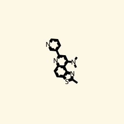 Cc1nc2c(ccc3nc(-c4cccnc4)cc(N(C)C)c32)s1